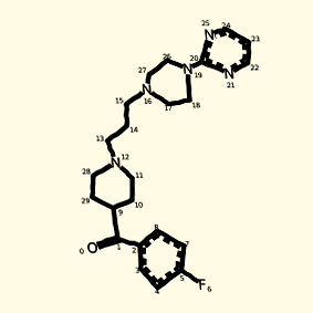 O=C(c1ccc(F)cc1)C1CCN(CCCN2CCN(c3ncccn3)CC2)CC1